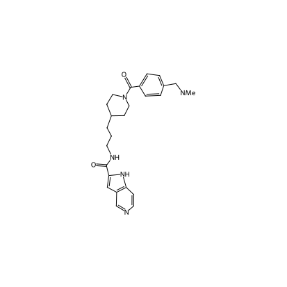 CNCc1ccc(C(=O)N2CCC(CCCNC(=O)c3cc4cnccc4[nH]3)CC2)cc1